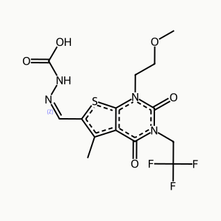 COCCn1c(=O)n(CC(F)(F)F)c(=O)c2c(C)c(/C=N\NC(=O)O)sc21